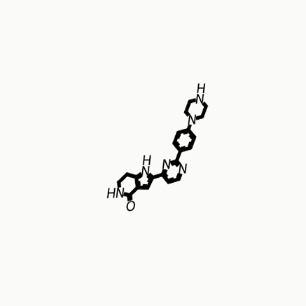 O=C1NCCc2[nH]c(-c3ccnc(-c4ccc(N5CCNCC5)cc4)n3)cc21